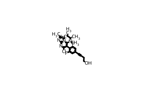 Cc1nc2nc(Cl)c(-c3c(F)cc(C#CCCO)cc3F)c(N(C)[C@H](C)C(C)C)n2n1